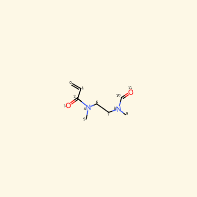 C=CC(=O)N(C)CCN(C)C=O